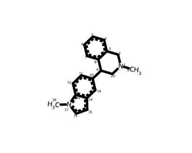 CN1Cc2ccccc2C(c2ccc3c(ccn3C)c2)C1